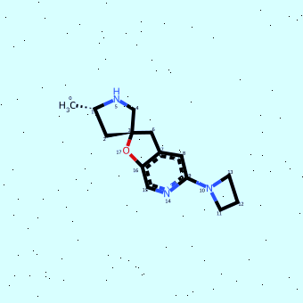 C[C@H]1C[C@@]2(CN1)Cc1cc(N3CCC3)ncc1O2